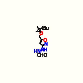 CC(C)(C)[Si](C)(C)OCc1cc(NNC=O)no1